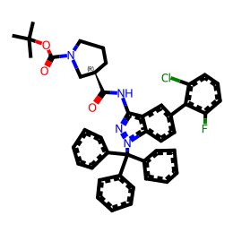 CC(C)(C)OC(=O)N1CCC[C@@H](C(=O)Nc2nn(C(c3ccccc3)(c3ccccc3)c3ccccc3)c3ccc(-c4c(F)cccc4Cl)cc23)C1